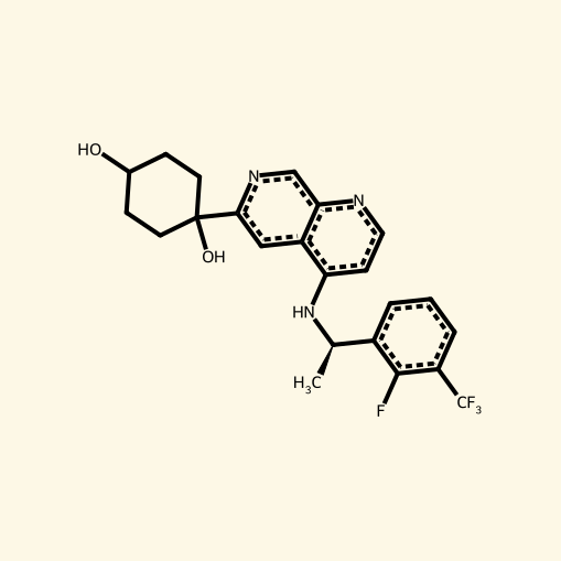 C[C@@H](Nc1ccnc2cnc(C3(O)CCC(O)CC3)cc12)c1cccc(C(F)(F)F)c1F